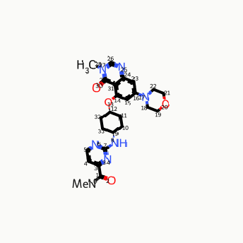 CNC(=O)c1ccnc(N[C@H]2CC[C@@H](Oc3cc(N4CCOCC4)cc4ncn(C)c(=O)c34)CC2)n1